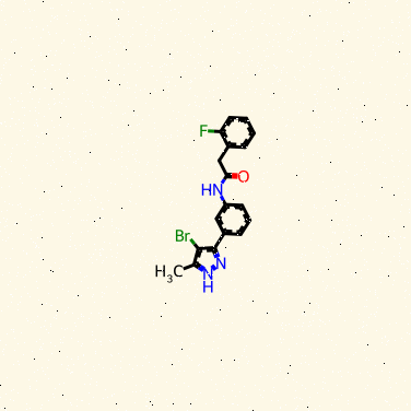 Cc1[nH]nc(-c2cccc(NC(=O)Cc3ccccc3F)c2)c1Br